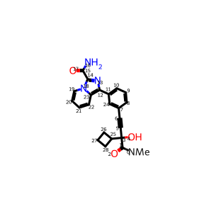 CNC(=O)C(O)(C#Cc1cccc(-c2nc(C(N)=O)n3ccccc23)c1)C1CCC1